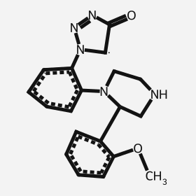 COc1ccccc1C1CNCCN1c1ccccc1N1[CH]C(=O)N=N1